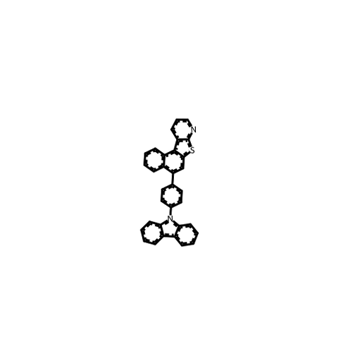 c1ccc2c(c1)c(-c1ccc(-n3c4ccccc4c4ccccc43)cc1)cc1sc3ncccc3c12